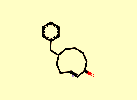 O=C1/C=C/CCC(Cc2ccccc2)CCCC1